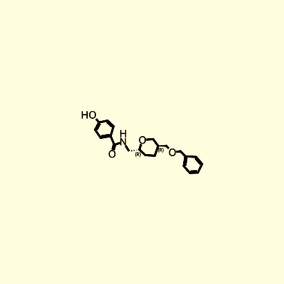 O=C(NC[C@H]1CC[C@H](COCc2ccccc2)CO1)c1ccc(O)cc1